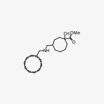 COC(=O)C1(C)CCCCC(CNCc2ccccccccc2)CC1